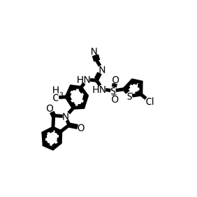 Cc1cc(N/C(=N\C#N)NS(=O)(=O)c2ccc(Cl)s2)ccc1N1C(=O)c2ccccc2C1=O